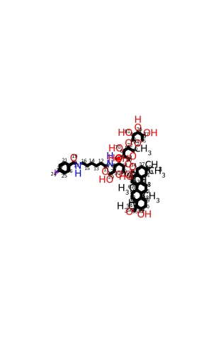 CC1O[C@@H](OC2C(O)[C@@H](NC(=O)CCCCCNC(=O)c3ccc(I)cc3)C(CO)O[C@H]2OC(=O)[C@]23CCC(C)(C)CC2C2=CCC4C5(C)CC[C@H](O)[C@](C)(C=O)[C@@H]5CCC4(C)[C@]2(C)CC3O)C(O)C(O)[C@H]1O[C@@H]1OC[C@@H](O)C(O)C1O